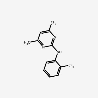 Cc1cc(C(F)(F)F)nc(Nc2ccccc2C(F)(F)F)n1